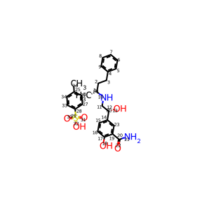 C[C@H](CCc1ccccc1)NC[C@H](O)c1ccc(O)c(C(N)=O)c1.Cc1ccc(S(=O)(=O)O)cc1